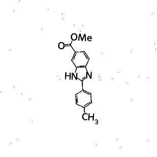 COC(=O)c1ccc2nc(-c3ccc(C)cc3)[nH]c2c1